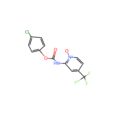 O=C(Nc1cc(C(F)(F)F)cc[n+]1[O-])Oc1ccc(Cl)cc1